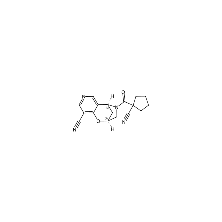 N#Cc1cncc2c1O[C@H]1C[C@@H]2N(C(=O)C2(C#N)CCCC2)C1